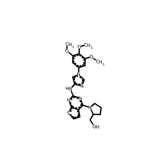 COc1cc(-n2cnc(Nc3nc(N4CCCC4CO)c4ccsc4n3)c2)cc(OC)c1OC